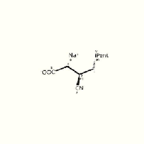 CCC[C@@H](C)C[C@@H](C#N)CC(=O)[O-].[Na+]